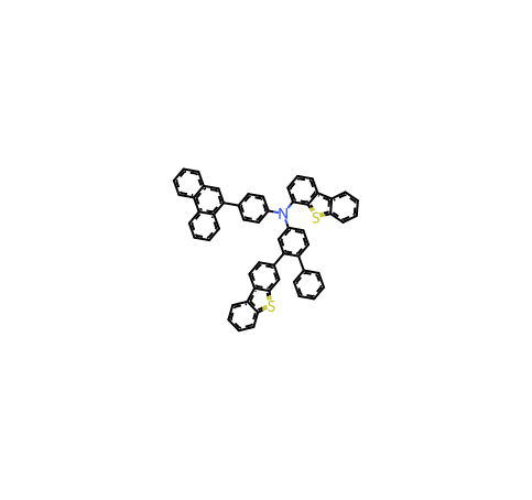 c1ccc(-c2ccc(N(c3ccc(-c4cc5ccccc5c5ccccc45)cc3)c3cccc4c3sc3ccccc34)cc2-c2ccc3c(c2)sc2ccccc23)cc1